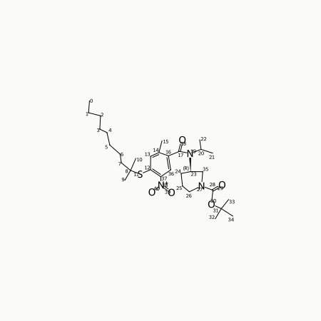 CCCCCCCCC(C)(C)Sc1cc(C)c(C(=O)N(C(C)C)[C@@H]2CCCN(C(=O)OC(C)(C)C)C2)cc1[N+](=O)[O-]